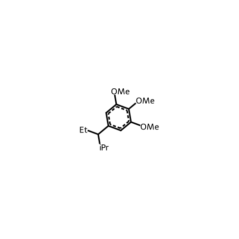 CCC(c1cc(OC)c(OC)c(OC)c1)C(C)C